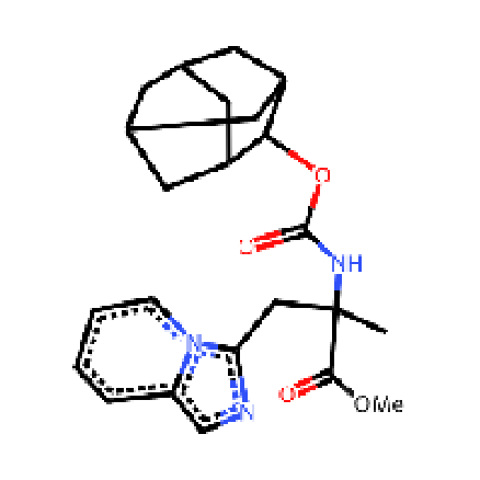 COC(=O)C(C)(Cc1ncc2ccccn12)NC(=O)OC1C2CC3CC(C2)CC1C3